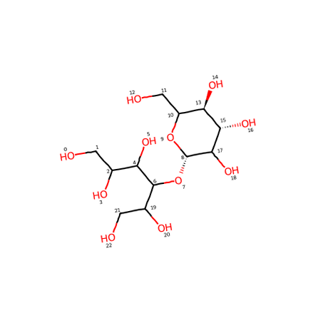 OCC(O)C(O)C(O[C@@H]1OC(CO)[C@@H](O)[C@H](O)C1O)C(O)CO